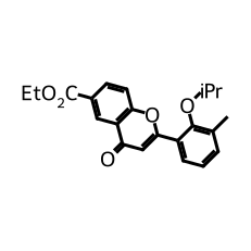 CCOC(=O)c1ccc2oc(-c3cccc(C)c3OC(C)C)cc(=O)c2c1